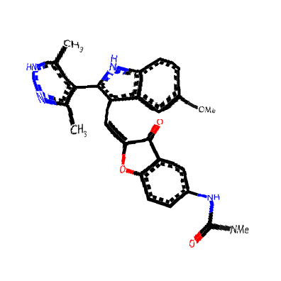 CNC(=O)Nc1ccc2c(c1)C(=O)C(=Cc1c(-c3c(C)n[nH]c3C)[nH]c3ccc(OC)cc13)O2